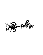 CC(C)CC(NCc1ccc(C#Cc2cc(C(N)=O)c(NC(N)=O)s2)cc1)C(=O)OC1CCCC1